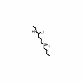 CCCC[SiH2]CCCC(Cl)NCC